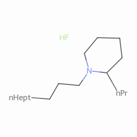 CCCCCCCCCCN1CCCCC1CCC.F